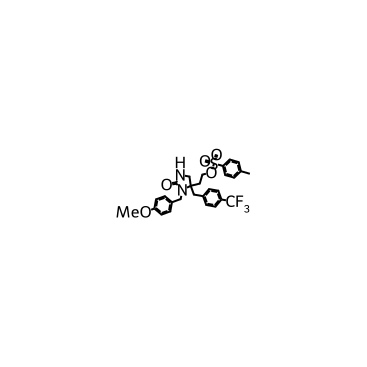 COc1ccc(CN2C(=O)NCC2(CCOS(=O)(=O)c2ccc(C)cc2)Cc2ccc(C(F)(F)F)cc2)cc1